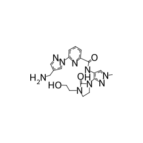 Cn1cc(NC(=O)c2cccc(-n3cc(CN)cn3)n2)c(N2CCN(CCO)C2=O)n1